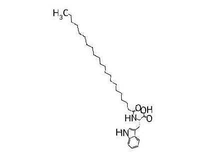 CCCCCCCCCCCCCCCCCCCCCC(=O)N[C@@H](Cc1c[nH]c2ccccc12)C(=O)O